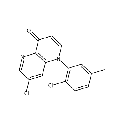 Cc1ccc(Cl)c(-n2ccc(=O)c3ncc(Cl)cc32)c1